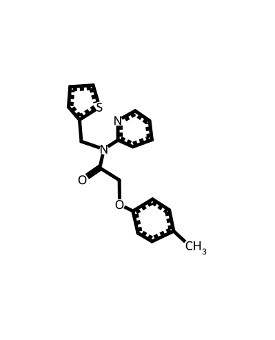 Cc1ccc(OCC(=O)N(Cc2cccs2)c2ccccn2)cc1